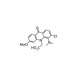 COc1ccc2c(=O)c3ccc(Cl)c(N(C)C)c3n(CC(=O)O)c2c1